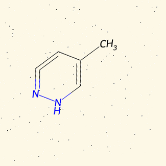 CC1=CNN=C=C1